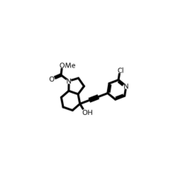 COC(=O)N1CCC2C1CCCC2(O)C#Cc1ccnc(Cl)c1